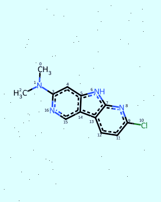 CN(C)c1cc2[nH]c3nc(Cl)ccc3c2cn1